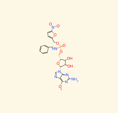 COc1nc(N)nc2c1ncn2[C@@H]1O[C@H](COP(=O)(NCc2ccccc2)OCc2ccc([N+](=O)[O-])o2)C(O)[C@H]1O